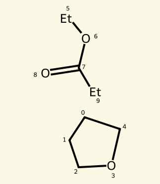 C1CCOC1.CCOC(=O)CC